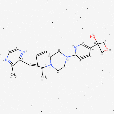 C=C/C(=C\c1nccnc1C)C(C)N1CCN(c2ccc(C3(O)COC3)cn2)CC1